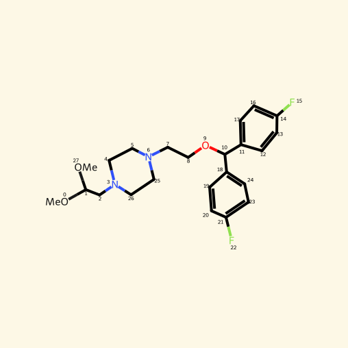 COC(CN1CCN(CCOC(c2ccc(F)cc2)c2ccc(F)cc2)CC1)OC